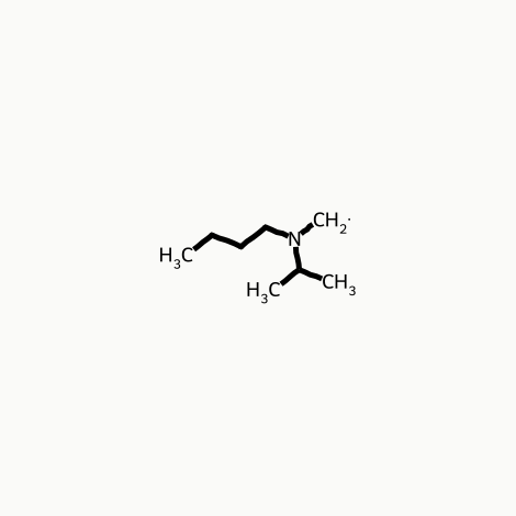 [CH2]N(CCCC)C(C)C